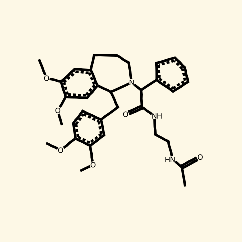 COc1ccc(CC2c3cc(OC)c(OC)cc3CCCN2C(C(=O)NCCNC(C)=O)c2ccccc2)cc1OC